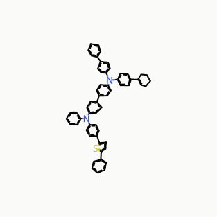 C1=C(c2ccc(N(c3ccc(-c4ccccc4)cc3)c3ccc(-c4ccc(N(c5ccccc5)c5ccc(-c6ccc(-c7ccccc7)s6)cc5)cc4)cc3)cc2)CCCC1